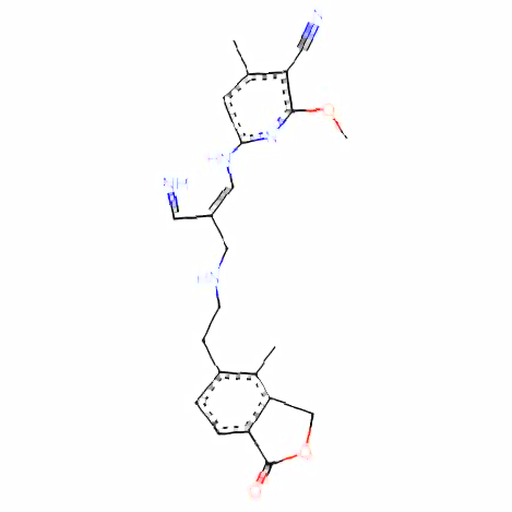 COc1nc(N/C=C(\C=N)CNCCc2ccc3c(c2C)COC3=O)cc(C)c1C#N